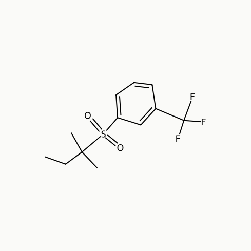 CCC(C)(C)S(=O)(=O)c1cccc(C(F)(F)F)c1